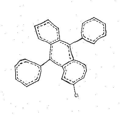 Clc1ccc2c(-c3ccccc3)c3ccccc3c(-c3ccccc3)c2c1